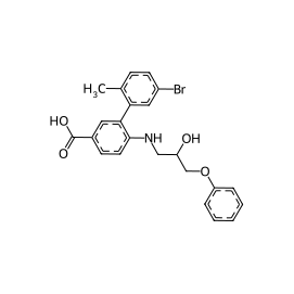 Cc1ccc(Br)cc1-c1cc(C(=O)O)ccc1NCC(O)COc1ccccc1